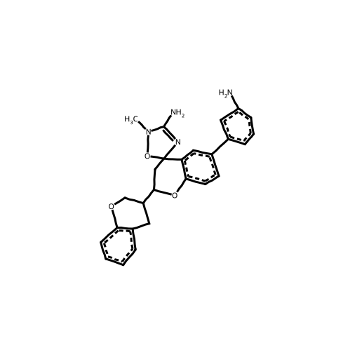 CN1OC2(CC(C3COc4ccccc4C3)Oc3ccc(-c4cccc(N)c4)cc32)N=C1N